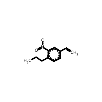 C=[C]c1ccc(CCC)c([N+](=O)[O-])c1